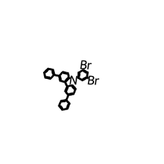 Brc1cc(Br)cc(-n2c3ccc(-c4ccccc4)cc3c3cc(-c4ccccc4)ccc32)c1